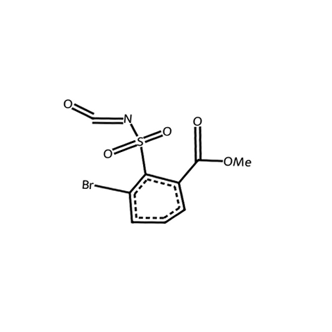 COC(=O)c1cccc(Br)c1S(=O)(=O)N=C=O